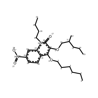 CCCCCCOc1c(OCC(C)CCC)c(=O)n(CCCC)c2cc([N+](=O)[O-])ccc12